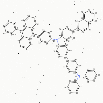 c1ccc(-c2c3ccccc3c(-c3ccc(-n4c5ccc(-c6ccc(N(c7ccccc7)c7ccccc7)cc6)cc5c5cc(-c6ccc7ccccc7c6)ccc54)cc3)c3ccccc23)cc1